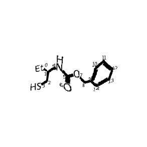 CC[C@H](CS)NC(=O)OCc1ccccc1